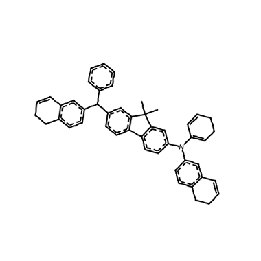 CC1(C)c2cc(C(c3ccccc3)c3ccc4c(c3)C=CCC4)ccc2-c2ccc(N(C3=CCCC=C3)c3ccc4c(c3)C=CCC4)cc21